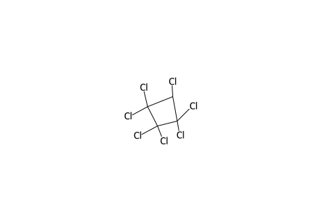 ClC1C(Cl)(Cl)C(Cl)(Cl)C1(Cl)Cl